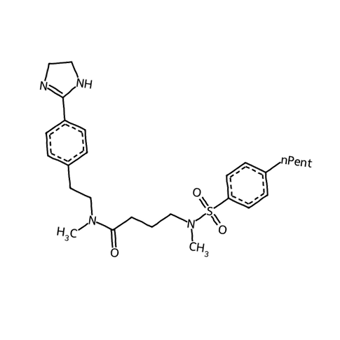 CCCCCc1ccc(S(=O)(=O)N(C)CCCC(=O)N(C)CCc2ccc(C3=NCCN3)cc2)cc1